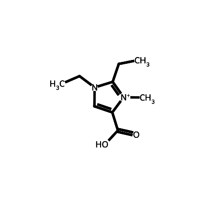 CCc1n(CC)cc(C(=O)O)[n+]1C